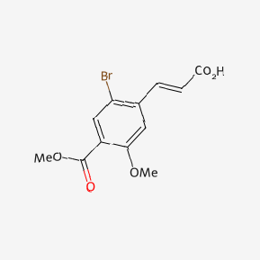 COC(=O)c1cc(Br)c(C=CC(=O)O)cc1OC